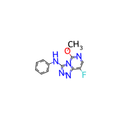 COc1ncc(F)c2nnc(Nc3ccccc3)n12